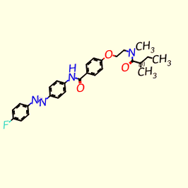 CC[C@@H](C)C(=O)N(C)CCOc1ccc(C(=O)Nc2ccc(/N=N/c3ccc(F)cc3)cc2)cc1